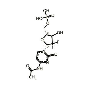 CC(=O)Nc1ccn([C@@H]2O[C@H](COP(=O)(O)O)C(O)C2(F)F)c(=O)n1